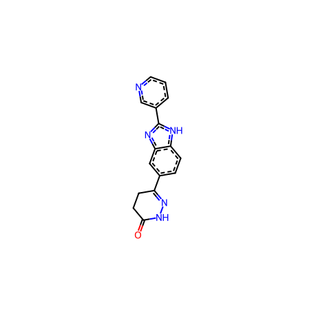 O=C1CCC(c2ccc3[nH]c(-c4cccnc4)nc3c2)=NN1